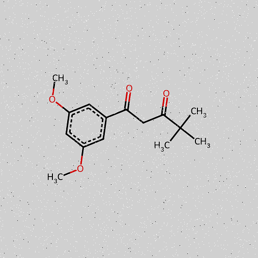 COc1cc(OC)cc(C(=O)CC(=O)C(C)(C)C)c1